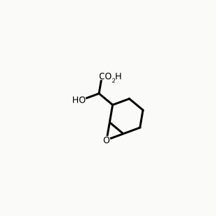 O=C(O)C(O)C1CCCC2OC21